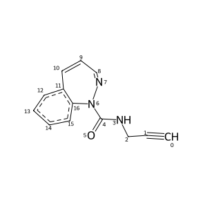 C#CCNC(=O)N1N=CC=Cc2ccccc21